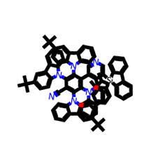 CC(C)C1(C)C=Cc2ccccc2N1c1c(-c2cncc3c2-c2ccccc2[Si]32c3ccccc3-c3ccccc32)c(-n2c3ccccc3c3cc(C(C)(C)C)ccc32)c(-n2c3ccccc3c3cc(C(C)(C)C)ccc32)c(C#N)c1-n1c2ccccc2c2cc(C(C)(C)C)ccc21